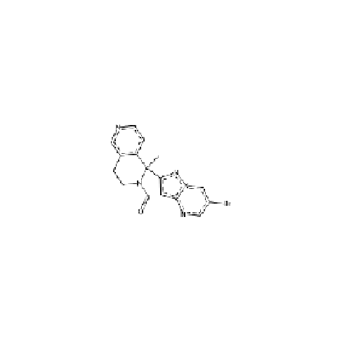 CC1(c2cc3ncc(Br)cn3n2)c2ccncc2CCN1C=O